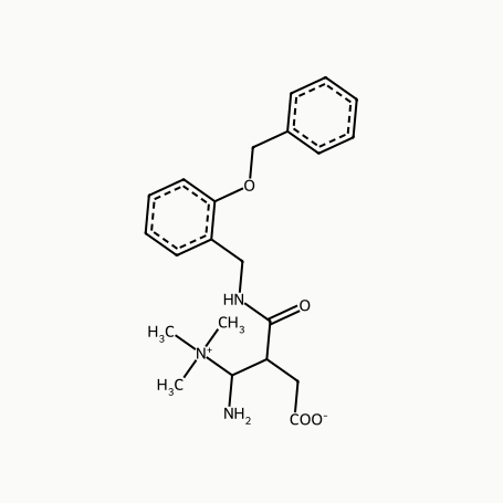 C[N+](C)(C)C(N)C(CC(=O)[O-])C(=O)NCc1ccccc1OCc1ccccc1